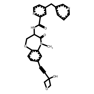 CN1C(=O)C(NC(=O)c2cc(Cc3cccnc3)ccn2)COc2ccc(C#CC3(O)COC3)cc21